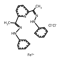 CC(=NNc1ccccc1)c1cccc(C(C)=NNc2ccccc2)n1.[Cl-].[Cl-].[Fe+2]